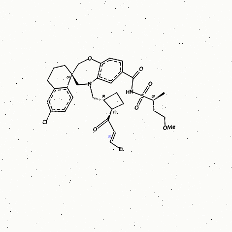 CC/C=C/C(=O)[C@@H]1CC[C@H]1CN1C[C@@]2(CCCc3cc(Cl)ccc32)COc2ccc(C(=O)NS(=O)(=O)[C@@H](C)CCOC)cc21